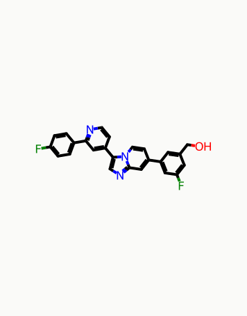 OCc1cc(F)cc(-c2ccn3c(-c4ccnc(-c5ccc(F)cc5)c4)cnc3c2)c1